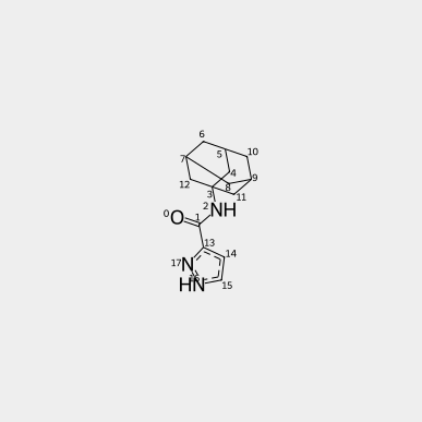 O=C(NC12CC3CC(CC(C3)C1)C2)c1cc[nH]n1